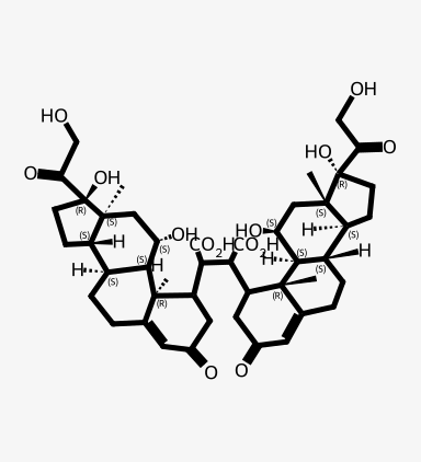 C[C@]12C[C@H](O)[C@H]3[C@@H](CCC4=CC(=O)CC(C(C(=O)O)C(C(=O)O)C5CC(=O)C=C6CC[C@@H]7[C@H]([C@@H](O)C[C@@]8(C)[C@H]7CC[C@]8(O)C(=O)CO)[C@]65C)[C@@]43C)[C@@H]1CC[C@]2(O)C(=O)CO